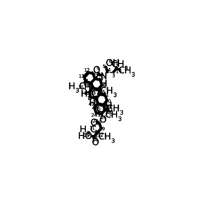 CC(C)C[C@@H](CO)NC(=O)[C@]12CC=C[C@@H](C)[C@@H]1C1CC[C@@H]3[C@@]4(C)CC[C@H](OC(=O)CC(C)(C)C(=O)O)C(C)(C)[C@@H]4CC[C@@]3(C)[C@]1(C)CC2